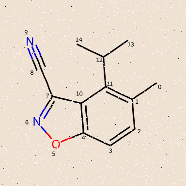 Cc1ccc2onc(C#N)c2c1C(C)C